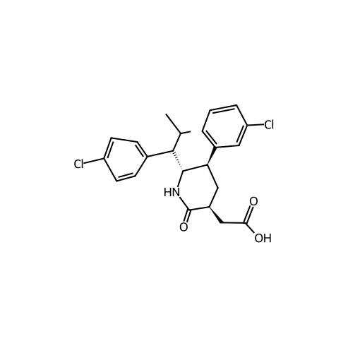 CC(C)C(c1ccc(Cl)cc1)[C@H]1NC(=O)[C@H](CC(=O)O)C[C@@H]1c1cccc(Cl)c1